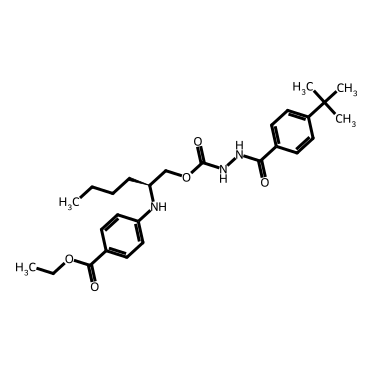 CCCC[C@@H](COC(=O)NNC(=O)c1ccc(C(C)(C)C)cc1)Nc1ccc(C(=O)OCC)cc1